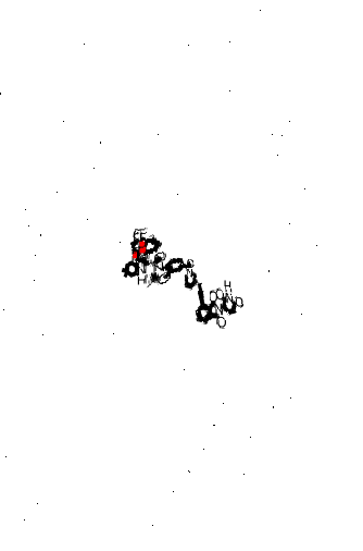 C[C@@H]1CN(C(=O)[C@@H]2NC3(CCC(C)(C)CC3)[C@@]3(CNc4cc(C(F)(F)F)ncc43)[C@H]2c2cccc(Cl)c2F)c2ccc(C(=O)N3CCC[C@@H](CC#Cc4cccc5c4C(=O)N([C@H]4CCC(=O)NC4=O)C5=O)C3)cc2O1